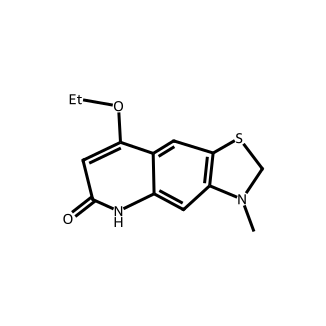 CCOc1cc(=O)[nH]c2cc3c(cc12)SCN3C